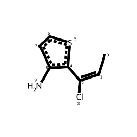 C/C=C(/Cl)c1sccc1N